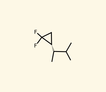 CC(C)C(C)[C@H]1CC1(F)F